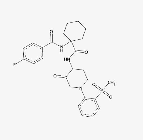 CS(=O)(=O)c1ccccc1N1CCC(NC(=O)C2(NC(=O)c3ccc(F)cc3)CCCCC2)C(=O)C1